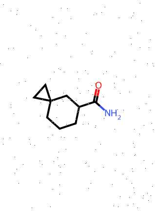 NC(=O)C1CCCC2(CC2)C1